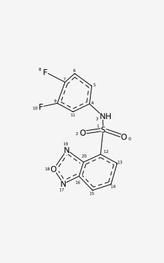 O=S(=O)(Nc1ccc(F)c(F)c1)c1cccc2nonc12